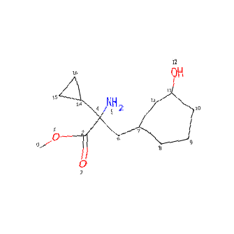 COC(=O)C(N)(CC1CCCC(O)C1)C1CC1